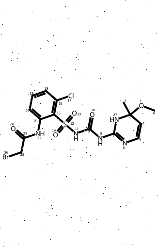 COC1(C)C=CN=C(NC(=O)NS(=O)(=O)c2c(Cl)cccc2NC(=O)CBr)N1